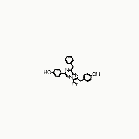 CC(C)c1c(Cc2ccc(O)cc2)nc2c(Cc3ccccc3)nc(-c3ccc(O)cc3)cn12